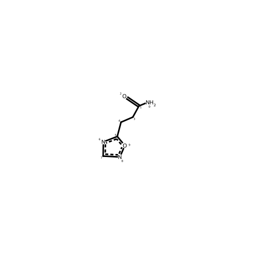 NC(=O)CCc1ncno1